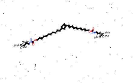 CO[Si](CCCNC(=O)OCC=CCCCCCC/C=C/C1CCC(C=CCCCCCC/C=C/COC(=O)NCCC[Si](OC)(OC)OC)C1)(OC)OC